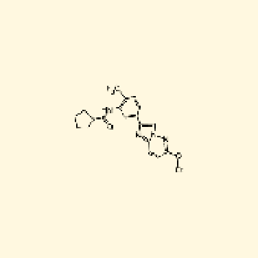 CCOc1ccc2nc(-c3ccc(C(F)(F)F)c(NC(=O)C4CCCC4)c3)cn2n1